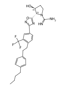 CCCCc1ccc(CCc2ccc(-c3noc([C@@H]4[C@@H](O)CCN4C(=N)N)n3)cc2C(F)(F)F)cc1